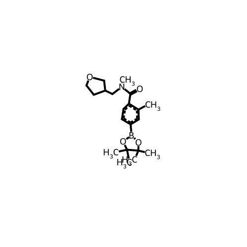 Cc1cc(B2OC(C)(C)C(C)(C)O2)ccc1C(=O)N(C)CC1CCOC1